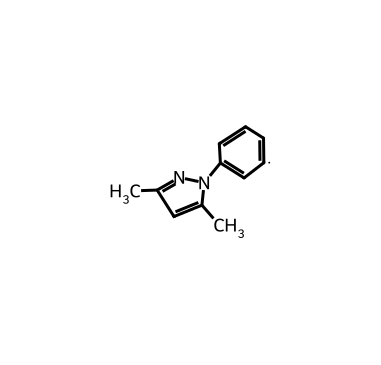 Cc1cc(C)n(-c2c[c]ccc2)n1